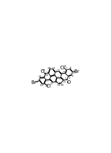 O=c1c2cc(Br)cc(Cl)c2c2cc3ccc4c(=O)c5cc(Br)cc(Cl)c5c5cc6ccc1c2c6c3c45